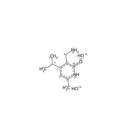 Cc1cc(C(C)C)c(CN)c(=O)[nH]1.Cl.Cl